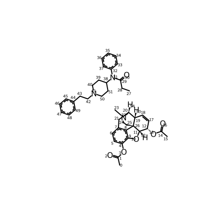 CC(=O)Oc1ccc2c3c1O[C@H]1[C@@H](OC(C)=O)C=C[C@H]4[C@@H](C2)N(C)CC[C@@]341.CCC(=O)N(c1ccccc1)C1CCN(CCc2ccccc2)CC1